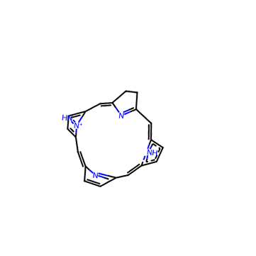 N=[N+]1C2=CC=C1/C=C1/CCC(=N1)/C=c1/cc/c([nH]1)=C/C1=NC(=C\2)/C=C1